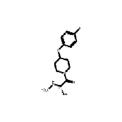 CC(C)(C)[C@H](NC(=O)O)C(=O)N1CCC(Oc2ccc(F)cc2)CC1